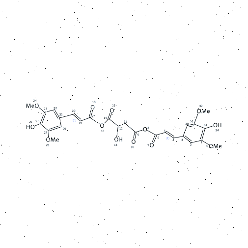 COc1cc(/C=C/C(=O)OC(=O)CC(O)C(=O)OC(=O)/C=C/c2cc(OC)c(O)c(OC)c2)cc(OC)c1O